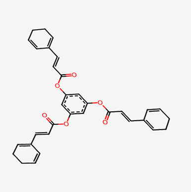 O=C(C=CC1=CCCC=C1)Oc1cc(OC(=O)C=CC2=CCCC=C2)cc(OC(=O)C=CC2=CCCC=C2)c1